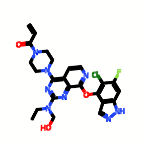 C=CC(=O)N1CCN(c2nc(N(CC)CO)nc3c(Oc4c(Cl)c(F)cc5[nH]ncc45)nccc23)CC1